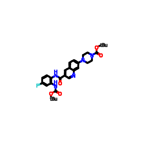 CC(C)(C)OC(=O)Nc1cc(F)ccc1NC(=O)c1cnc2cc(N3CCN(C(=O)OC(C)(C)C)CC3)ccc2c1